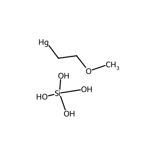 COC[CH2][Hg].O[Si](O)(O)O